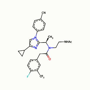 CC(=O)NCCN(C(=O)Cc1ccc(F)c(C(F)(F)F)c1)[C@H](C)c1nc(C2CC2)cn1-c1ccc(C#N)cc1